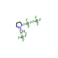 CN1CCCC1.F[B-](F)(F)F.F[B-](F)(F)F.F[B-](F)(F)F